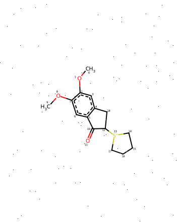 COc1cc2c(cc1OC)C(=O)C([S+]1CCCC1)C2